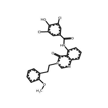 COc1ccccc1CCn1cnc2cccc(NC(=O)c3cc(Cl)c(O)c(Cl)c3)c2c1=O